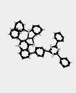 c1ccc(-c2nc(-c3ccccc3)nc(-c3ccc(-c4cccc5nc(-c6ccccc6)c6c(c45)SC4c5ccccc5N(c5ccccc5)C64)cc3)n2)cc1